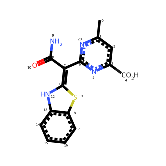 Cc1cc(C(=O)O)nc(/C(C(N)=O)=C2/Nc3ccccc3S2)n1